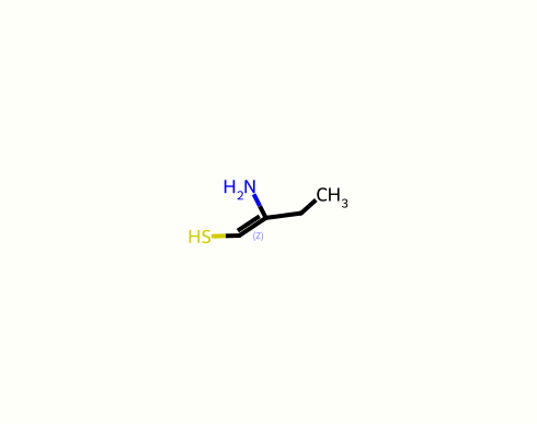 CC/C(N)=C/S